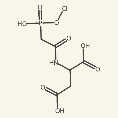 O=C(O)CC(NC(=O)CP(=O)(O)OCl)C(=O)O